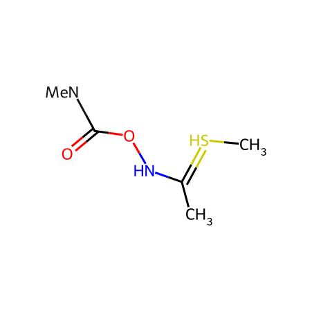 CNC(=O)ONC(C)=[SH]C